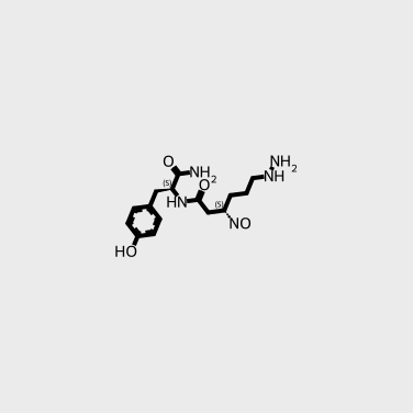 NNCCC[C@@H](CC(=O)N[C@@H](Cc1ccc(O)cc1)C(N)=O)N=O